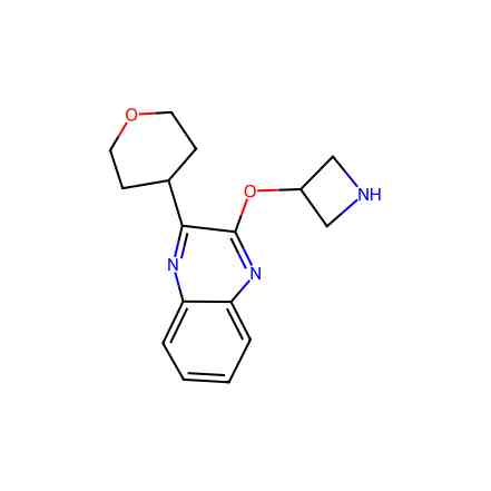 c1ccc2nc(C3CCOCC3)c(OC3CNC3)nc2c1